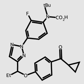 CCC(Oc1ccc(C(=O)C2CC2)cc1)c1cnn(-c2ccc(N(C(=O)O)C(C)(C)C)c(F)c2)n1